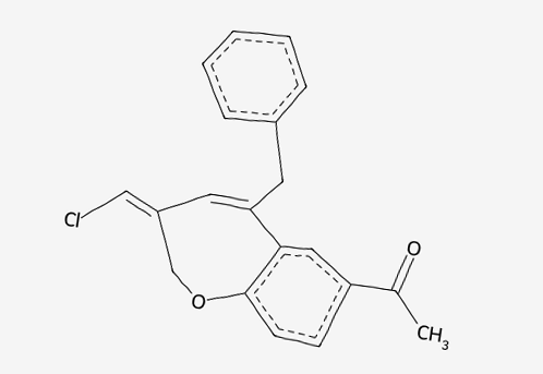 CC(=O)c1ccc2c(c1)C(Cc1ccccc1)=C/C(=C/Cl)CO2